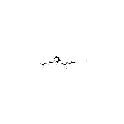 CCC(CC)CNC(=O)Cn1cccc(NC(=O)C(CCC=CC(=O)O)NC(C)=O)c1=O